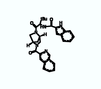 CC(C)(C)C(NC(=O)c1cc2ccccc2[nH]1)C(=O)N1C[C@@H]2C[C@H]1CN2C(=O)c1cc2ccccc2cn1